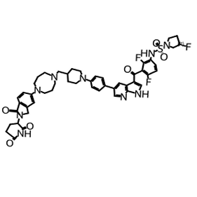 O=C1CCC(N2Cc3cc(N4CCCN(CC5CCN(c6ccc(-c7cnc8[nH]cc(C(=O)c9c(F)ccc(NS(=O)(=O)N%10CC[C@@H](F)C%10)c9F)c8c7)cc6)CC5)CCC4)ccc3C2=O)C(=O)N1